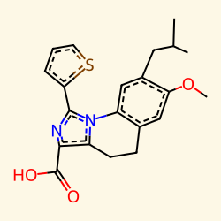 COc1cc2c(cc1CC(C)C)-n1c(-c3cccs3)nc(C(=O)O)c1CC2